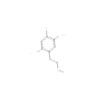 COc1cc([N+](=O)[O-])c(OC)cc1CCNC(=O)O